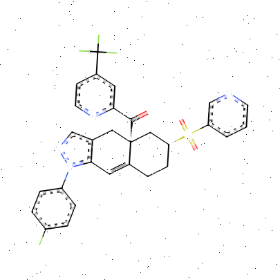 O=C(c1cc(C(F)(F)F)ccn1)[C@]12Cc3cnn(-c4ccc(F)cc4)c3C=C1CC[C@H](S(=O)(=O)c1cccnc1)C2